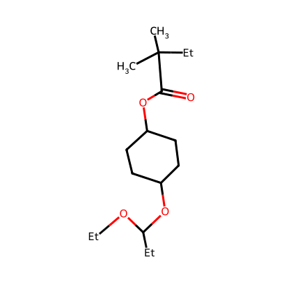 CCOC(CC)OC1CCC(OC(=O)C(C)(C)CC)CC1